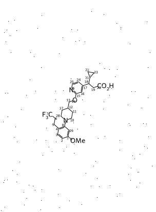 COc1ccc(CCC(F)(F)F)c(N2CCC(COc3cc(C(CC(=O)O)C4CC4)ccn3)CC2)c1